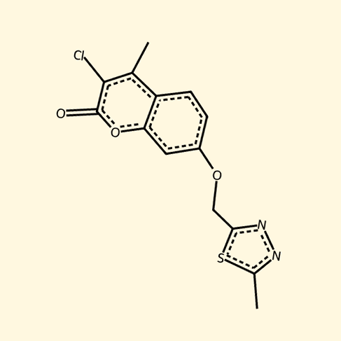 Cc1nnc(COc2ccc3c(C)c(Cl)c(=O)oc3c2)s1